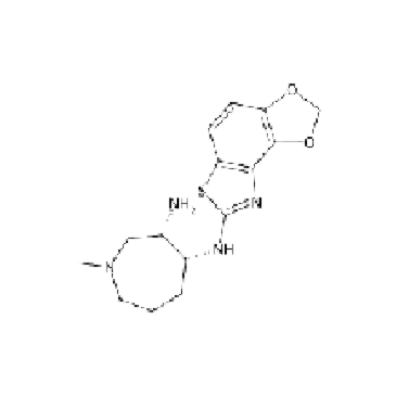 CN1CCC[C@@H](Nc2nc3c4c(ccc3s2)OCO4)[C@@H](N)C1